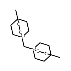 CC12CC[N+](C[N+]34CCC(C)(CC3)CC4)(CC1)CC2